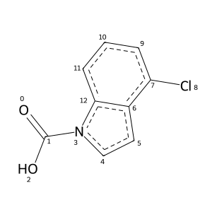 O=C(O)n1ccc2c(Cl)cccc21